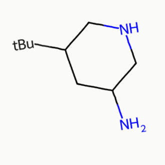 CC(C)(C)C1CNCC(N)C1